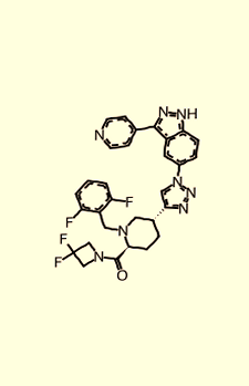 O=C([C@@H]1CC[C@@H](c2cn(-c3ccc4[nH]nc(-c5ccncc5)c4c3)nn2)CN1Cc1c(F)cccc1F)N1CC(F)(F)C1